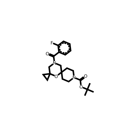 CC(C)(C)OC(=O)N1CCC2(CC1)CN(C(=O)c1ccccc1F)CC1(CC1)O2